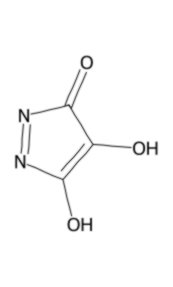 O=C1N=NC(O)=C1O